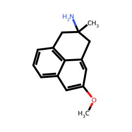 COc1cc2c3c(cccc3c1)CC(C)(N)C2